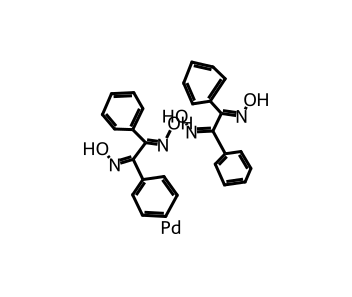 ON=C(C(=NO)c1ccccc1)c1ccccc1.ON=C(C(=NO)c1ccccc1)c1ccccc1.[Pd]